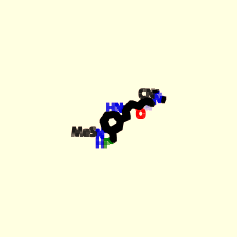 CSNC1=CCC2NC(CC(=O)/C(C#N)=C/N(C)C)=CC2C=C1CF